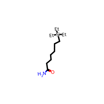 CC[Si](CC)(CC)CCCCCCC(N)=O